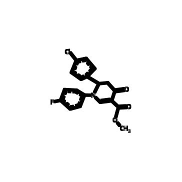 COC(=O)C1=CN(c2ccc(F)cc2)C(c2ccc(Cl)cc2)CC1=O